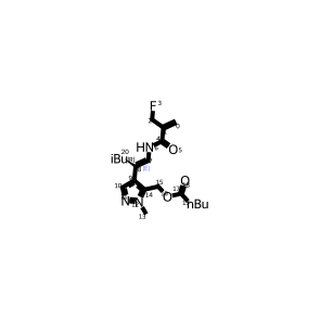 C=C(CF)C(=O)N/C=C(/c1cnn(C)c1COC(=O)CCCC)[C@H](C)CC